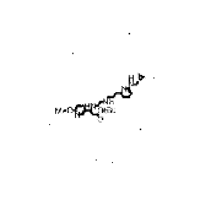 COc1ccc(C(CC(=O)OC(C)(C)C)NCCNCCCc2cccc(NCC3CC3)n2)cn1